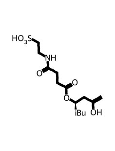 C=C(O)C[C@H](OC(=O)CCC(=O)NCCS(=O)(=O)O)C(C)CC